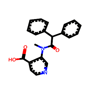 CN(C(=O)C(c1ccccc1)c1ccccc1)c1cnccc1C(=O)O